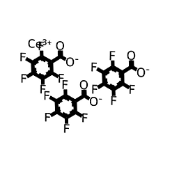 O=C([O-])c1c(F)c(F)c(F)c(F)c1F.O=C([O-])c1c(F)c(F)c(F)c(F)c1F.O=C([O-])c1c(F)c(F)c(F)c(F)c1F.[Ce+3]